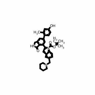 Cc1cc(O)ccc1-c1cc2c(c(-c3cc4cc(CN5CCCCC5)ccc4n3C(=O)OC(C)(C)C)c1)C(=O)NC2